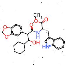 COC(=O)[C@H](Cc1c[nH]c2ccccc12)NC(=O)C(c1ccc2c(c1)OCO2)C(O)C1CCCCC1